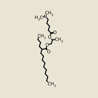 CCCCCCCCCCC(CCCC)C(=O)OCC(C)OC(=O)CCCCN(C)C